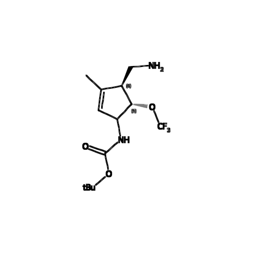 CC1=CC(NC(=O)OC(C)(C)C)[C@@H](OC(F)(F)F)[C@@H]1CN